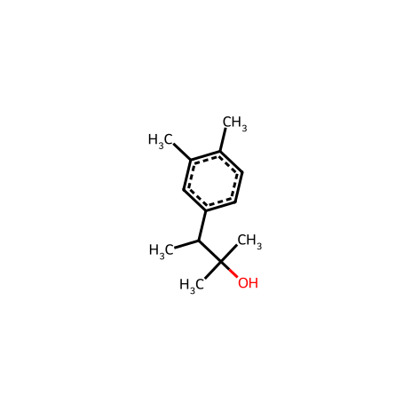 Cc1ccc(C(C)C(C)(C)O)cc1C